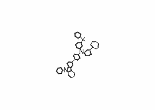 CC1(C)c2ccccc2-c2ccc(N(c3ccc(-c4ccc5c(c4)c4c(n5-c5ccccc5)C=CCC4)cc3)c3cccc(C4=CC=CC=CC4)c3)cc21